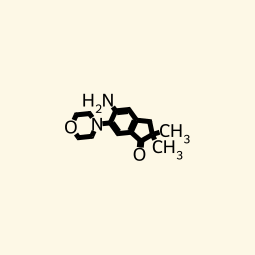 CC1(C)Cc2cc(N)c(N3CCOCC3)cc2C1=O